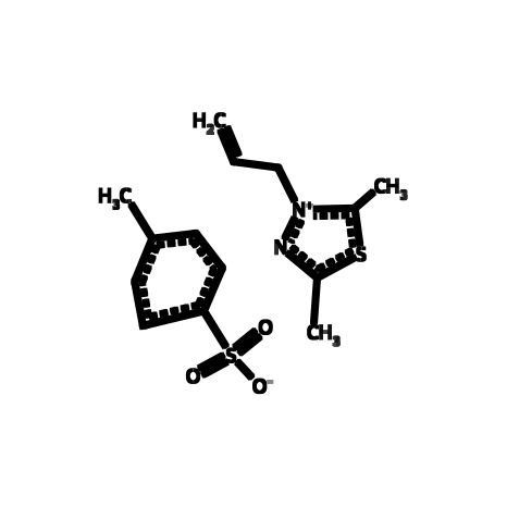 C=CC[n+]1nc(C)sc1C.Cc1ccc(S(=O)(=O)[O-])cc1